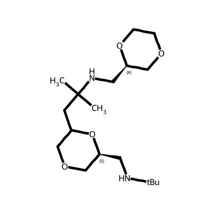 CC(C)(C)NC[C@H]1COCC(CC(C)(C)NC[C@@H]2COCCO2)O1